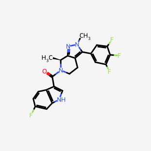 C[C@H]1c2nn(C)c(-c3cc(F)c(F)c(F)c3)c2CCN1C(=O)c1c[nH]c2cc(F)ccc12